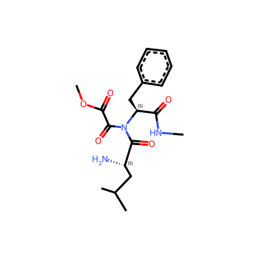 CNC(=O)[C@H](Cc1ccccc1)N(C(=O)C(=O)OC)C(=O)[C@@H](N)CC(C)C